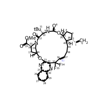 C=C[C@H]1CC[C@H]2OC(=O)N[C@@H](C(C)(C)C)C(=O)N3C[C@@H](C[C@H]3C(=O)OC)Oc3nc4ccccc4nc3C(F)(F)/C=C/CC[C@H]12